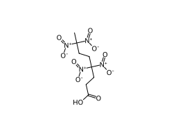 CC(CCC(CCC(=O)O)([N+](=O)[O-])[N+](=O)[O-])([N+](=O)[O-])[N+](=O)[O-]